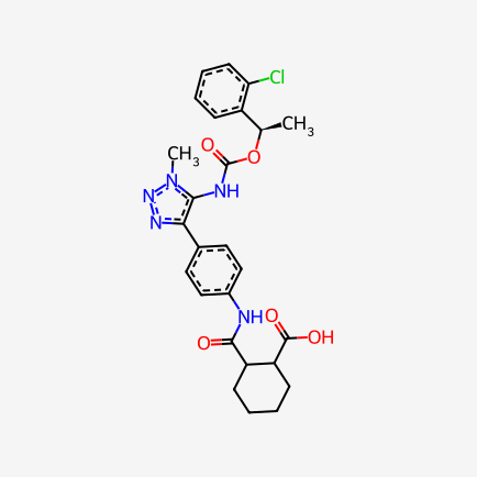 C[C@@H](OC(=O)Nc1c(-c2ccc(NC(=O)C3CCCCC3C(=O)O)cc2)nnn1C)c1ccccc1Cl